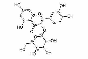 O=c1c(O[C@@H]2O[C@H](CO)[C@H](O)C(O)C2O)c(-c2ccc(O)c(O)c2)oc2cc(O)cc(O)c12